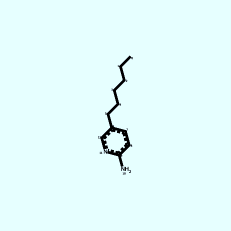 CCCCCCc1ccc(N)nc1